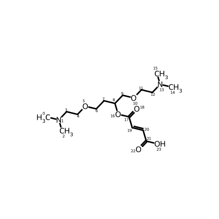 CN(C)CCOCCC(COCCN(C)C)OC(=O)C=CC(=O)O